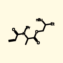 C=CC(=O)N(C(C)C)C(C)C(=O)OCC(CC)CCCC